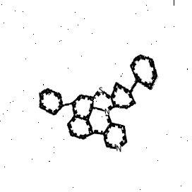 c1ccc(-c2ccc3c(c2)sc2cc(-c4ccccc4)c4cccc5c6cnccc6n3-c2c45)cc1